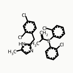 C=C(C)B(c1ccccc1Cl)c1ccccc1Cl.Cc1cnc(Cc2ccc(Cl)cc2Cl)[nH]1